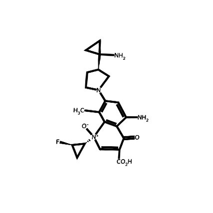 Cc1c(N2CC[C@@H](C3(N)CC3)C2)cc(N)c2c1[N+]([O-])([C@@H]1C[C@H]1F)C=C(C(=O)O)C2=O